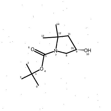 CC(C)(C)OC(=O)N1C[C@@H](O)CC1(C)C